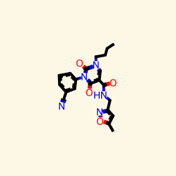 CCCCn1cc(C(=O)NCc2cc(C)on2)c(=O)n(-c2cccc(C#N)c2)c1=O